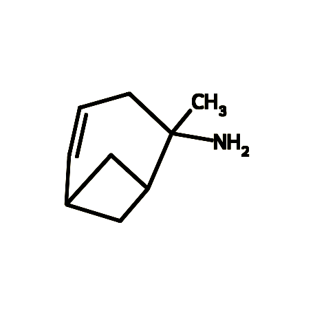 CC1(N)CC=CC2CC1C2